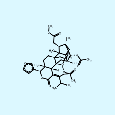 COC(=O)C[C@H]1[C@@]2(C)C[C@@]34O[C@]5(C)O[C@]6([C@@H]7/C(=C(\O)C(C)C)C(=O)O[C@@H](c8ccoc8)[C@]7(C)CC[C@]6(O5)[C@]13C)[C@H](OC(C)=O)[C@@]4(O)[C@H]2OC(C)=O